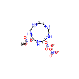 C1CNCCNCCNCCNCCN1.O=[N+]([O-])[O-].O=[N+]([O-])[O-].O=[N+]([O-])[O-].[Mn]